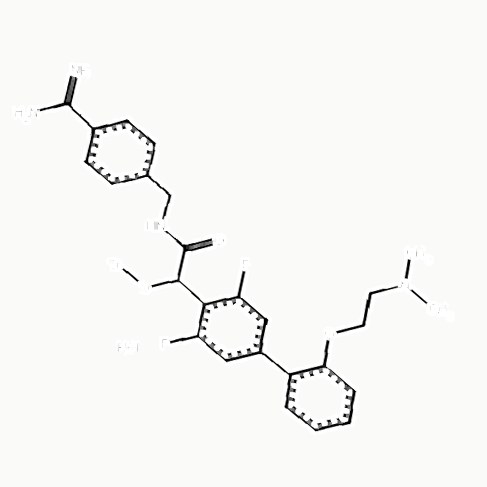 CCOC(C(=O)NCc1ccc(C(=N)N)cc1)c1c(F)cc(-c2ccccc2OCCN(C)C)cc1F.Cl